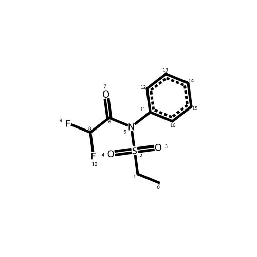 CCS(=O)(=O)N(C(=O)C(F)F)c1ccccc1